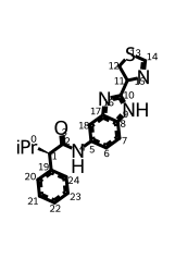 CC(C)[C@@H](C(=O)Nc1ccc2[nH]c(C3CSC=N3)nc2c1)c1ccccc1